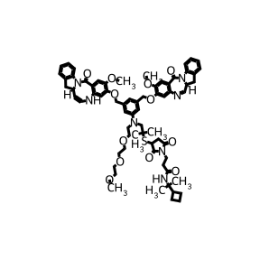 COCCOCCOCCN(CC(C)(C)SC1CC(=O)N(CCC(=O)NC(C)(C)C2CCC2)C1=O)c1cc(COc2cc3c(cc2OC)C(=O)N2c4ccccc4C[C@H]2C=N3)cc(COc2cc3c(cc2OC)C(=O)N2c4ccccc4C[C@H]2C#CN3)c1